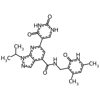 Cc1cc(C)c(CNC(=O)c2cc(-c3c[nH]c(=O)[nH]c3=O)nc3c2cnn3C(C)C)c(=O)[nH]1